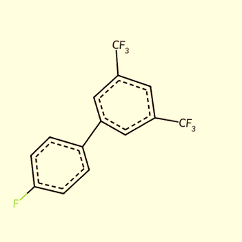 Fc1ccc(-c2cc(C(F)(F)F)cc(C(F)(F)F)c2)cc1